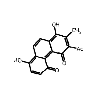 CC(=O)C1=C(C)C(O)=c2ccc3c(c2C1=O)C(=O)C=CC=3O